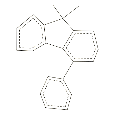 CC1(C)c2ccccc2-c2c(-c3ccccc3)cccc21